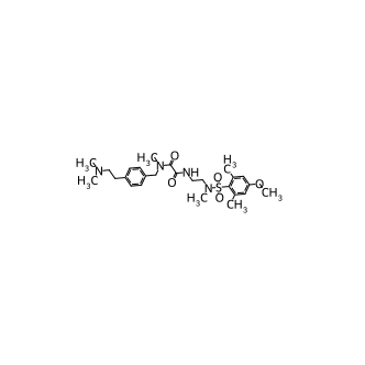 COc1cc(C)c(S(=O)(=O)N(C)CCNC(=O)C(=O)N(C)Cc2ccc(CCN(C)C)cc2)c(C)c1